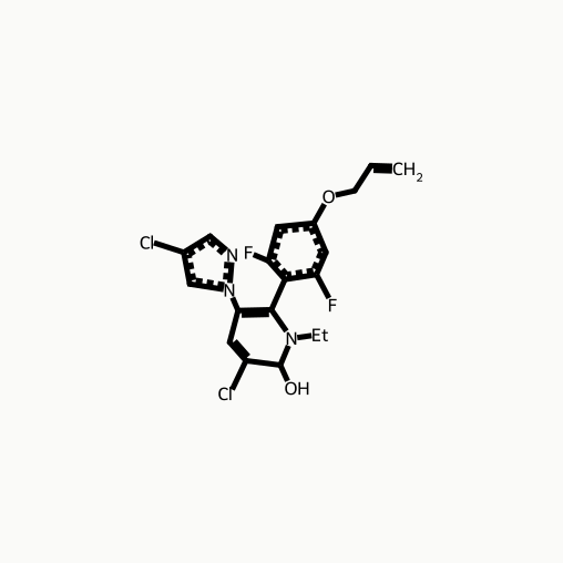 C=CCOc1cc(F)c(C2=C(n3cc(Cl)cn3)C=C(Cl)C(O)N2CC)c(F)c1